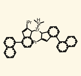 CC(C)C1=Cc2c(-c3cccc4ccccc34)cccc2[CH]1[Zr]([CH]1C(C(C)C)=Cc2c(-c3cccc4ccccc34)cccc21)[SiH](C)C